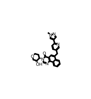 Cn1cc(-c2ccc(Cc3cc4c(=O)n([C@H]5CCOC[C@@H]5O)cnc4c4ccccc34)cn2)cn1